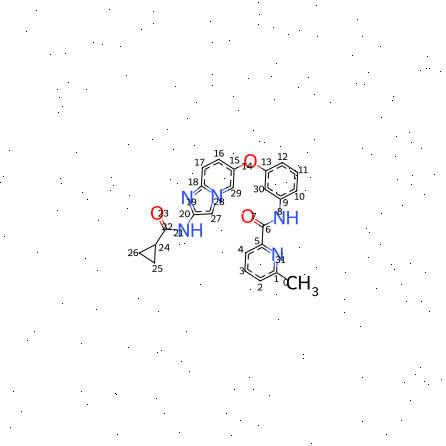 Cc1cccc(C(=O)Nc2cccc(Oc3ccc4nc(NC(=O)C5CC5)cn4c3)c2)n1